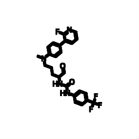 CN(CCCC(C=O)NC(=O)Nc1ccc(C(F)(F)F)cc1)c1ccc(-c2cccnc2F)cc1